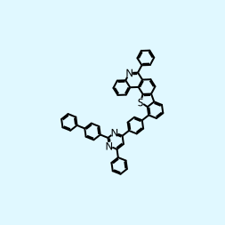 c1ccc(-c2ccc(-c3nc(-c4ccccc4)cc(-c4ccc(-c5cccc6c5sc5c6ccc6c(-c7ccccc7)nc7ccccc7c65)cc4)n3)cc2)cc1